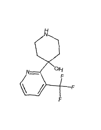 OC1(c2ncccc2C(F)(F)F)CCNCC1